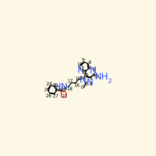 Cc1nc2c(N)nc3cccnc3c2n1CCCCNC(=O)c1ccccc1